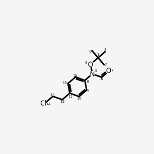 CC(C)(C)ON(C=O)c1ccc(CCCl)cc1